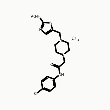 CC(=O)Nc1ncc(CN2CCN(CC(=O)Nc3ccc(Cl)cc3)C[C@H]2C)s1